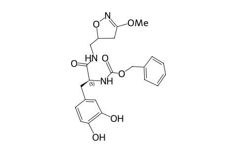 COC1=NOC(CNC(=O)[C@H](Cc2ccc(O)c(O)c2)NC(=O)OCc2ccccc2)C1